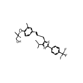 Cc1cc(C=CCc2sc(-c3ccc(C(F)(F)F)cc3)nc2C(C)C)ccc1OC(C)(C)CO